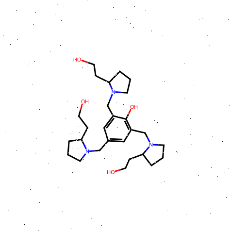 OCCC1CCCN1Cc1cc(CN2CCCC2CCO)c(O)c(CN2CCCC2CCO)c1